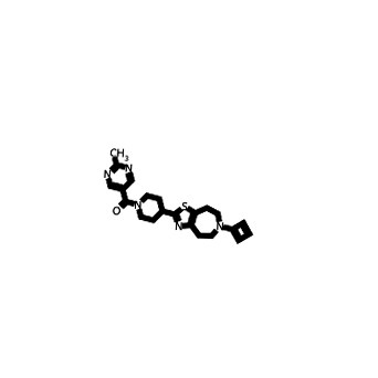 Cc1ncc(C(=O)N2CCC(c3nc4c(s3)CCN(C3=CC=C3)CC4)CC2)cn1